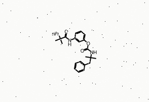 CCCC(C)(C)C(=O)Nc1cccc(OC(=O)NC(C)(C)Cc2ccccc2)c1